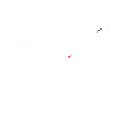 N#C[C@H]1C[C@@H](Oc2nn(CC(=O)O)c(=O)c3ccc(Br)cc23)C1